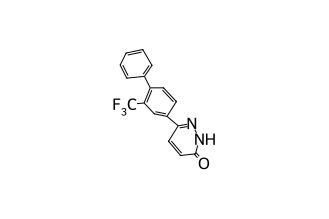 O=c1ccc(-c2ccc(-c3ccccc3)c(C(F)(F)F)c2)n[nH]1